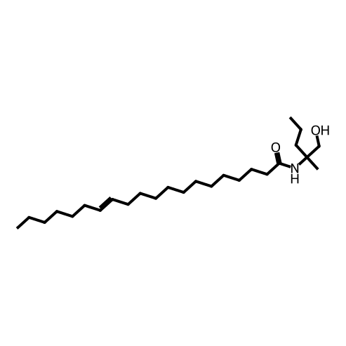 CCCCCCC=CCCCCCCCCCCCC(=O)NC(C)(CO)CCC